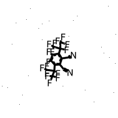 N#Cc1c(C#N)c(C(F)(C(F)(F)F)C(F)(F)F)c(F)c(F)c1C(F)(C(F)(F)F)C(F)(F)F